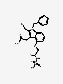 CC(C)Cc1c(CC(N)=O)c2c(OCC(=O)NS(=O)(=O)C(C)C)cccc2n1Cc1ccccc1